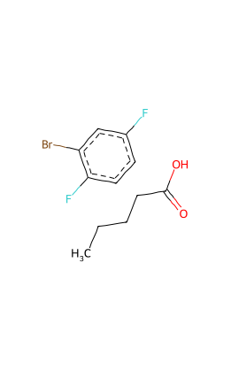 CCCCC(=O)O.Fc1ccc(F)c(Br)c1